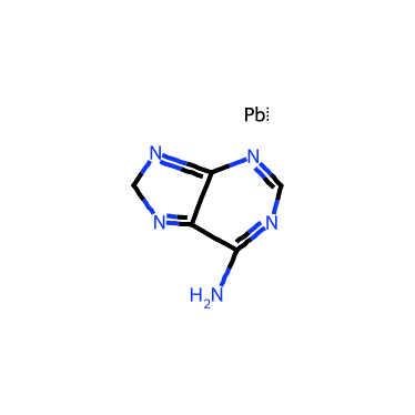 Nc1ncnc2c1=NCN=2.[Pb]